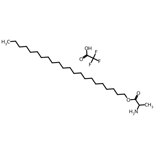 CCCCCCCCCCCCCCCCCCCCCCOC(=O)C(C)N.O=C(O)C(F)(F)F